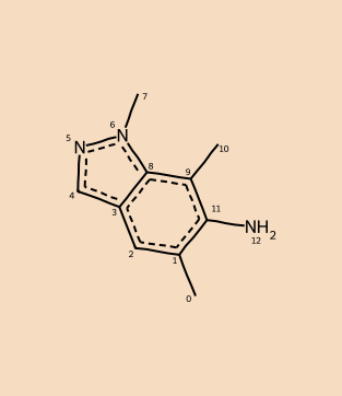 Cc1cc2cnn(C)c2c(C)c1N